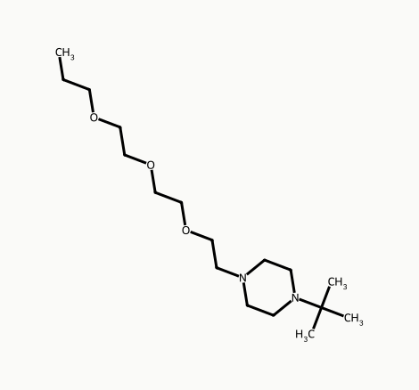 CCCOCCOCCOCCN1CCN(C(C)(C)C)CC1